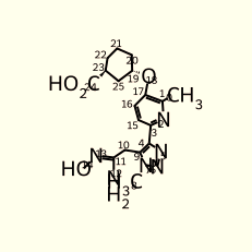 Cc1nc(-c2nnn(C)c2C/C(N)=N/O)ccc1O[C@H]1CCC[C@H](C(=O)O)C1